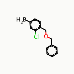 Bc1ccc(COCc2ccccc2)c(Cl)c1